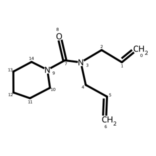 C=CCN(CC=C)C(=O)N1CCCCC1